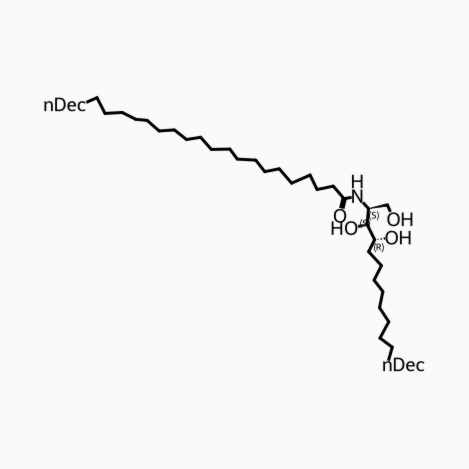 CCCCCCCCCCCCCCCCCCCCCCCCCCCCCC(=O)N[C@@H](CO)[C@H](O)[C@H](O)CCCCCCCCCCCCCCCCCC